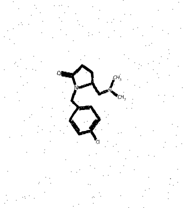 CN(C)CC1CCC(=O)N1Cc1ccc(Cl)cc1